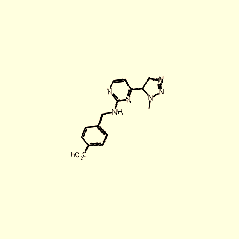 CN1N=NCC1c1ccnc(NCc2ccc(C(=O)O)cc2)n1